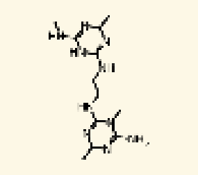 CNC1=NC(C)N=C(NCCNC2=NC(C)N=C(N)N2C)N1